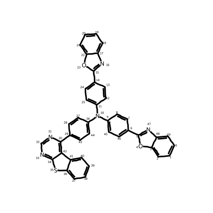 c1ccc2oc(-c3ccc(N(c4ccc(-c5nc6ccccc6o5)cc4)c4ccc(-c5ncnc6sc7ccccc7c56)cc4)cc3)nc2c1